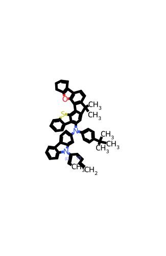 C=C/C=C\C(=C/C)n1c2ccccc2c2ccc(N(c3ccc(C(C)(C)C)cc3)c3cc4c(c5sc6ccccc6c35)-c3c(ccc5c6c(oc35)CCC=C6)C4(C)C)cc21